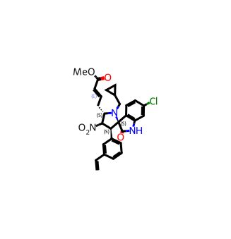 C=Cc1cccc([C@H]2C([N+](=O)[O-])[C@H](C/C=C/C(=O)OC)N(CC3CC3)[C@@]23C(=O)Nc2cc(Cl)ccc23)c1